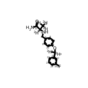 [2H]C([2H])(Oc1ccc(CN[C@]([2H])(C(N)=O)C([2H])([2H])[2H])cc1)c1cccc(F)c1